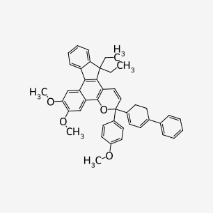 CCC1(CC)c2ccccc2-c2c1c1c(c3cc(OC)c(OC)cc23)OC(C2=CC=C(c3ccccc3)CC2)(c2ccc(OC)cc2)C=C1